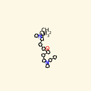 C=C/C=C\c1c(C)n(-c2ccccc2)c2cc(-c3cccc(-c4ccc5c(c4)oc4cccc(-c6cccc(-c7cccc(N(c8ccccc8)c8ccc(-c9ccccc9)cc8)c7)c6)c45)c3)ccc12